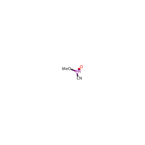 CO[PH](=O)C#N